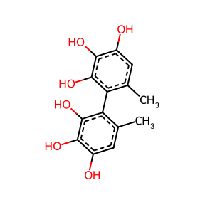 Cc1cc(O)c(O)c(O)c1-c1c(C)cc(O)c(O)c1O